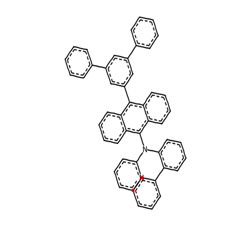 c1ccc(-c2cc(-c3ccccc3)cc(-c3c4ccccc4c(N(c4ccccn4)c4ccccc4-c4ccccc4)c4ccccc34)c2)cc1